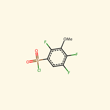 COc1c(F)c(F)cc(S(=O)(=O)Cl)c1F